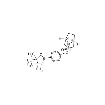 CC1(C)OB(c2ccc(O[C@@H]3C[C@H]4CC[C@@H](C3)N4C=O)cc2)OC1(C)C